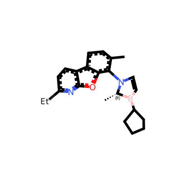 CCc1ccc2c(n1)oc1c(N3C=CB(C4CCCC4)[C@@H]3C)c(C)ccc12